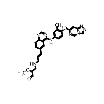 COC(C=O)CNC/C=C/c1ccc2ncnc(Nc3ccc(Oc4cc5nncn5cn4)c(C)c3)c2c1